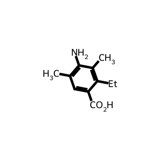 CCc1c(C(=O)O)cc(C)c(N)c1C